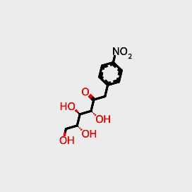 O=C(Cc1ccc([N+](=O)[O-])cc1)[C@H](O)[C@H](O)[C@H](O)CO